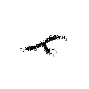 C=CC(=O)Oc1ccc(OC(=O)C2CCC(C(=O)Oc3ccc(OC(=O)C4CCC(C(=O)Oc5ccc(OC(=O)C=C)cc5)CC4)c4sc(-c5cc6c(C)cc(C)cc6o5)nc34)CC2)cc1